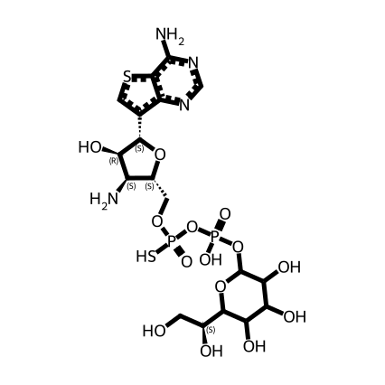 Nc1ncnc2c([C@@H]3O[C@H](COP(=O)(S)OP(=O)(O)OC4OC([C@@H](O)CO)C(O)C(O)C4O)[C@@H](N)[C@H]3O)csc12